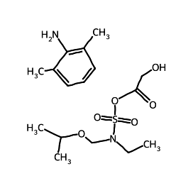 CCN(COC(C)C)S(=O)(=O)OC(=O)CO.Cc1cccc(C)c1N